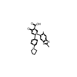 Cc1nc2cc(C)c(-n3cc(C(=O)O)c(=O)cc3-c3ccc(N4CCCC4)cc3)cc2s1